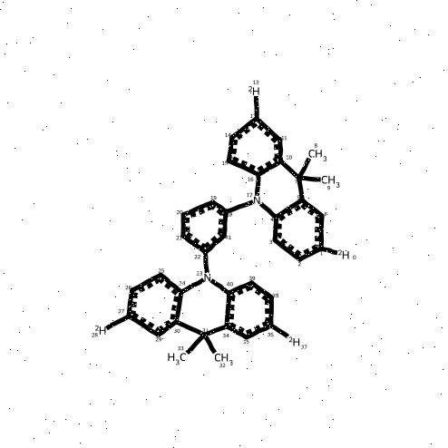 [2H]c1ccc2c(c1)C(C)(C)c1cc([2H])ccc1N2c1cccc(N2c3ccc([2H])cc3C(C)(C)c3cc([2H])ccc32)c1